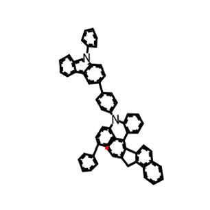 c1ccc(-c2ccc(N(c3ccc(-c4ccc5c(c4)c4ccccc4n5-c4ccccc4)cc3)c3ccccc3-c3cccc4c3-c3ccc5ccccc5c3C4)cc2)cc1